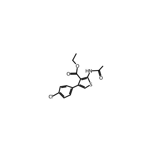 CCOC(=O)c1c(-c2ccc(Cl)cc2)csc1NC(C)=O